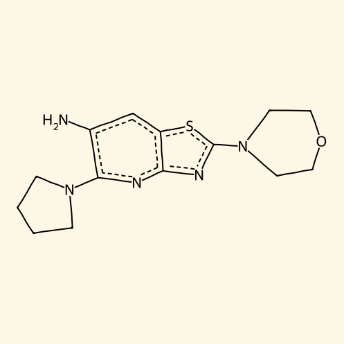 Nc1cc2sc(N3CCOCC3)nc2nc1N1CCCC1